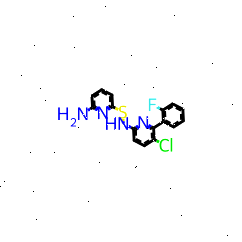 Nc1cccc(SNc2ccc(Cl)c(-c3ccccc3F)n2)n1